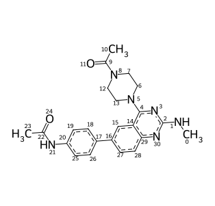 CNc1nc(N2CCN(C(C)=O)CC2)c2cc(-c3ccc(NC(C)=O)cc3)ccc2n1